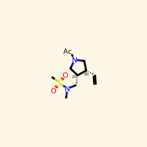 C=C[C@H]1CN(C(C)=O)C[C@H]1CN(C)S(C)(=O)=O